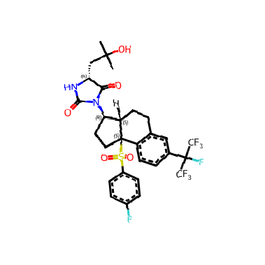 CC(C)(O)C[C@H]1NC(=O)N([C@@H]2CC[C@@]3(S(=O)(=O)c4ccc(F)cc4)c4ccc(C(F)(C(F)(F)F)C(F)(F)F)cc4CC[C@@H]23)C1=O